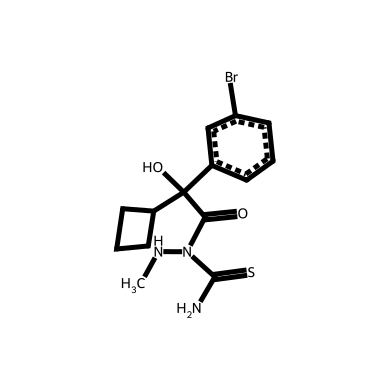 CNN(C(=O)C(O)(c1cccc(Br)c1)C1CCC1)C(N)=S